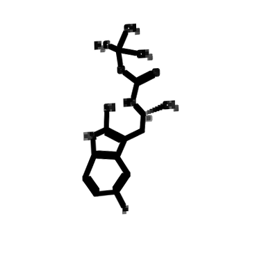 C[C@H](Cc1c(S)[nH]c2ccc(F)cc12)NC(=O)OC(C)(C)C